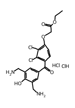 CCOC(=O)COc1ccc(C(=O)c2cc(CN)c(O)c(CN)c2)c(Cl)c1Cl.Cl.Cl